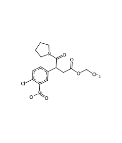 CCOC(=O)CC(C(=O)N1CCCC1)c1ccc(Cl)c([N+](=O)[O-])c1